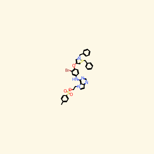 Cc1ccc(S(=O)(=O)OCCn2ccc3ncnc(Nc4ccc(OC5=CN(Cc6ccccc6)S(Cc6ccccc6)=C5)c(Br)c4)c32)cc1